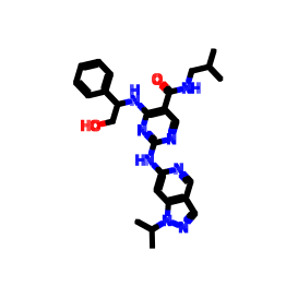 CC(C)CNC(=O)c1cnc(Nc2cc3c(cn2)cnn3C(C)C)nc1NC(CO)c1ccccc1